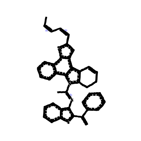 C=C(c1ccccc1)c1sc2ccccc2c1/N=C(\C)n1c2c(c3c4cc(/C=C\C=C/C)sc4c4ccccc4c31)C=CCC2